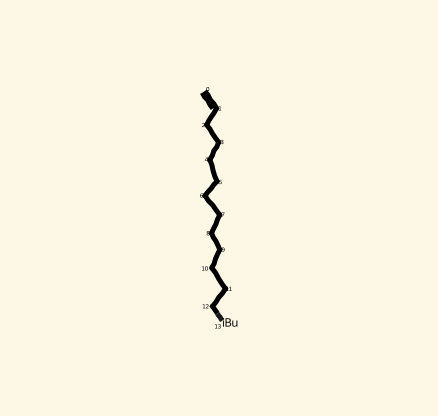 C=CCCCCCCCCCCCC(C)CC